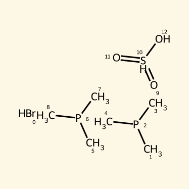 Br.CP(C)C.CP(C)C.O=[SH](=O)O